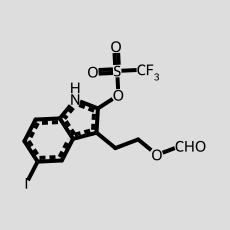 O=COCCc1c(OS(=O)(=O)C(F)(F)F)[nH]c2ccc(I)cc12